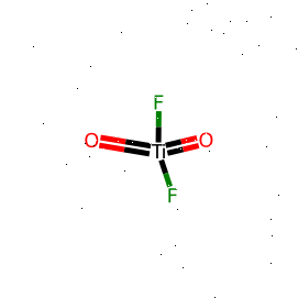 [O]=[Ti](=[O])([F])[F]